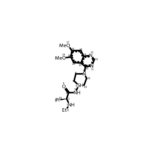 CCN[C@H](C(=O)N[SH]1CCN(c2ncnc3cc(OC)c(OC)cc23)CC1)C(C)C